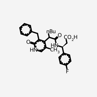 CCCCC(C(=O)N[C@@H](CC(=O)O)c1ccc(F)cc1)c1c(C)c[nH]c(=O)c1Cc1ccccc1